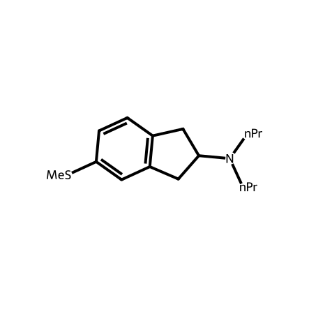 CCCN(CCC)C1Cc2ccc(SC)cc2C1